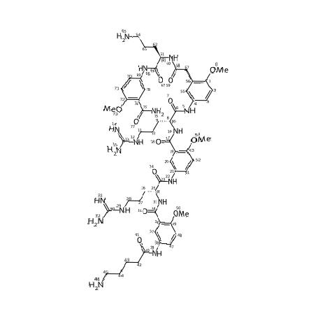 COc1ccc(NC(=O)[C@@H](CCCNC(=N)N)NC(=O)c2cc(NC(=O)[C@@H](CCCNC(=N)N)NC(=O)c3cc(NC(=O)CCCCN)ccc3OC)ccc2OC)cc1CC(=O)N[C@H](CCCN)C(=O)Nc1ccc(OC)c(C(N)=O)c1